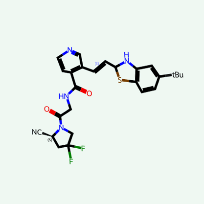 CC(C)(C)c1ccc2c(c1)NC(/C=C/c1cnccc1C(=O)NCC(=O)N1CC(F)(F)C[C@H]1C#N)S2